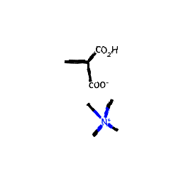 CC(C(=O)[O-])C(=O)O.C[N+](C)(C)C